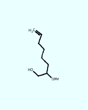 C=CCCCCC(CO)OC